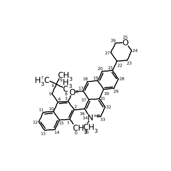 Cc1c2c(c(CC(C)(C)C)c3ccccc13)Oc1cc3cc(C4CCOCC4)ccc3c3cc[n+](C)c-2c13